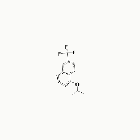 CC(C)Oc1ccnc2cc(C(F)(F)F)ccc12